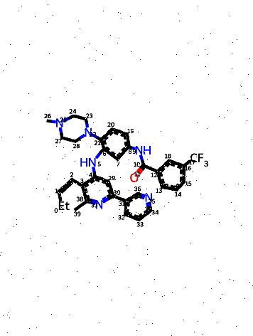 CC/C=C\c1c(Nc2cc(NC(=O)c3cccc(C(F)(F)F)c3)ccc2N2CCN(C)CC2)cc(-c2cccnc2)nc1C